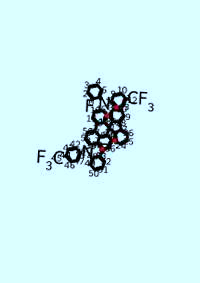 Fc1ccccc1N(c1ccc(C(F)(F)F)cc1)c1ccc2c(c1)C1(c3ccccc3-c3ccccc31)c1cccc3c(N(c4ccc(C(F)(F)F)cc4)c4ccccc4F)ccc-2c13